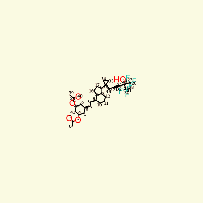 CC(=O)OC1C/C(=C/C=C2\CCC[C@@]3(C)C2CCC3C2(CC#CC(O)(C(F)(F)F)C(F)(F)F)CC2)C[C@@H](OC(C)=O)C1